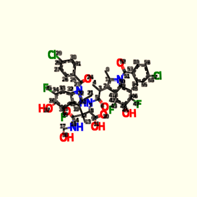 Cc1c(C(C)C(=O)NC(C(=O)O)C(C)(C(=O)NCO)c2c(C)n(C(=O)c3ccc(Cl)cc3)c3cc(F)c(O)c(F)c23)c2c(F)c(O)c(F)cc2n1C(=O)c1ccc(Cl)cc1